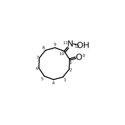 O=C1CCCCCCCCC1=NO